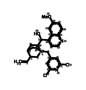 C=CC1C[N+]2(Cc3cc(Cl)nc(Cl)c3)CCC1CC2[C@@H](O)c1ccnc2ccc(OC)cc12